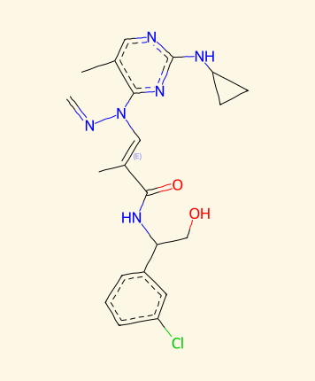 C=NN(/C=C(\C)C(=O)NC(CO)c1cccc(Cl)c1)c1nc(NC2CC2)ncc1C